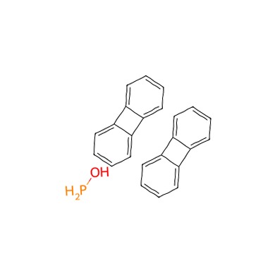 OP.c1ccc2c(c1)-c1ccccc1-2.c1ccc2c(c1)-c1ccccc1-2